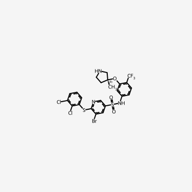 C[C@@]1(Oc2cc(NS(=O)(=O)c3cnc(Sc4cccc(Cl)c4Cl)c(Br)c3)ccc2C(F)(F)F)CCNC1